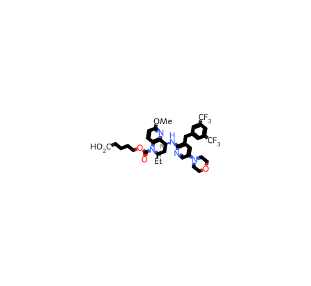 CC[C@@H]1C[C@H](Nc2ncc(N3CCOCC3)cc2Cc2cc(C(F)(F)F)cc(C(F)(F)F)c2)c2nc(OC)ccc2N1C(=O)OCCCCC(=O)O